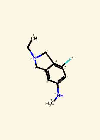 CCN1Cc2cc(NC)cc(F)c2C1